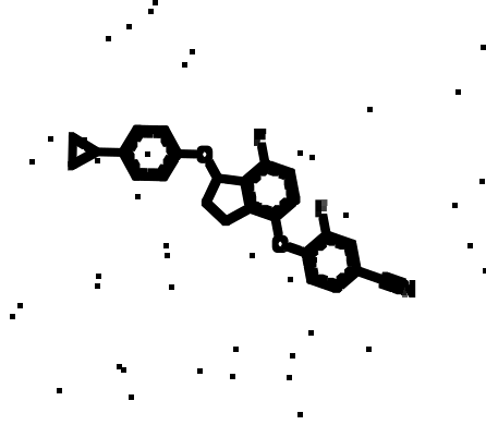 N#Cc1ccc(Oc2ccc(F)c3c2CCC3Oc2ccc(C3CC3)cc2)c(F)c1